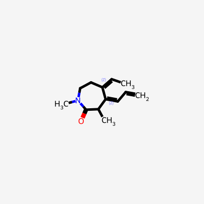 C=C/C=C1\C(=C/C)CCN(C)C(=O)C1C